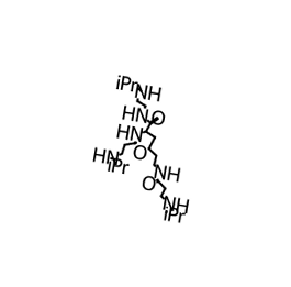 CC(C)NCCNC(=O)C(CCCCNC(=O)CCNC(C)C)NC(=O)CCNC(C)C